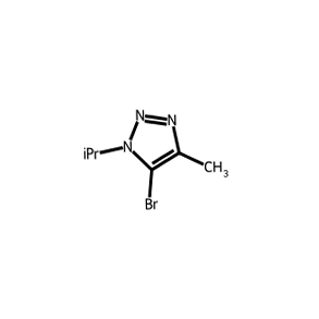 Cc1nnn(C(C)C)c1Br